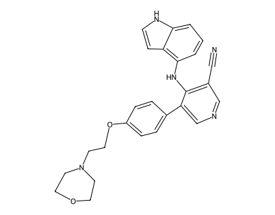 N#Cc1cncc(-c2ccc(OCCN3CCOCC3)cc2)c1Nc1cccc2[nH]ccc12